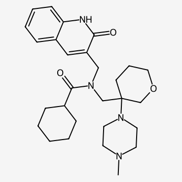 CN1CCN(C2(CN(Cc3cc4ccccc4[nH]c3=O)C(=O)C3CCCCC3)CCCOC2)CC1